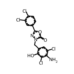 Nc1c(Cl)cc(Cn2nc(-c3ccc(Cl)c(Cl)c3)oc2=O)c(O)c1Cl